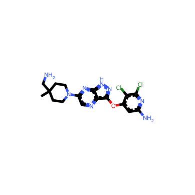 CC1(CN)CCN(c2cnc3c(Oc4cc(N)nc(Cl)c4Cl)n[nH]c3n2)CC1